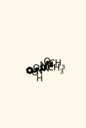 CN(C)C(=O)c1ncc(NC(=O)Oc2ccccc2)cn1